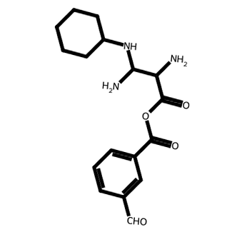 NC(NC1CCCCC1)C(N)C(=O)OC(=O)c1cccc(C=O)c1